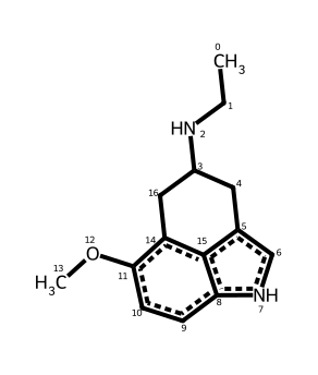 CCNC1Cc2c[nH]c3ccc(OC)c(c23)C1